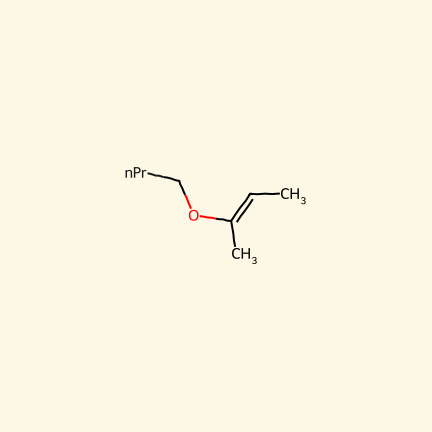 CC=C(C)OCCCC